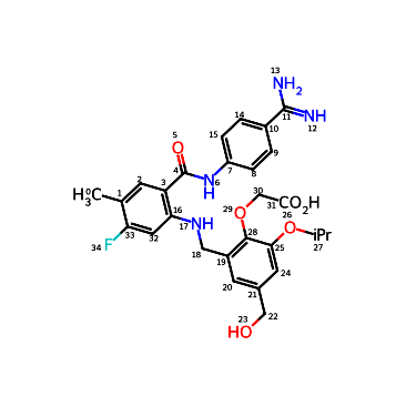 Cc1cc(C(=O)Nc2ccc(C(=N)N)cc2)c(NCc2cc(CO)cc(OC(C)C)c2OCC(=O)O)cc1F